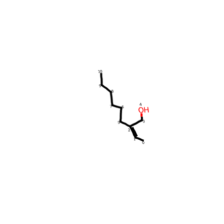 CC=C(CO)CCCCCC